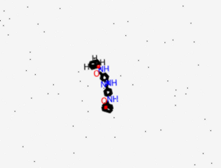 O=C(NC1C2C[C@H]3C[C@@H](C2)C[C@@H]1C3)c1ccc2[nH]c(-c3ccc(NC(=O)C45CC6CC(CC(C6)C4)C5)cc3)nc2c1